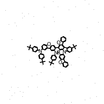 CC(C)(C)c1ccc(N2B3c4cc5oc6ccccc6c5cc4-n4c5ccc(C(C)(C)C)cc5c5c6c(oc7ccccc76)c(c3c54)-c3cc4oc5ccc(N(c6ccc(C(C)(C)C)cc6)c6ccc(C(C)(C)C)cc6)cc5c4cc32)cc1